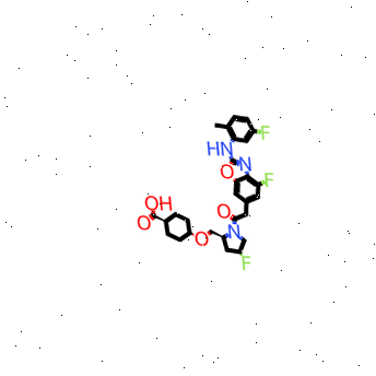 Cc1ccc(F)cc1Nc1nc2c(F)cc(CC(=O)N3C[C@@H](F)C[C@H]3CO[C@H]3CC[C@H](C(=O)O)CC3)cc2o1